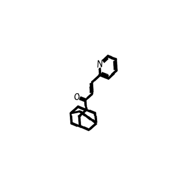 O=C(C=Cc1ccccn1)C12CC3CC(CC(C3)C1)C2